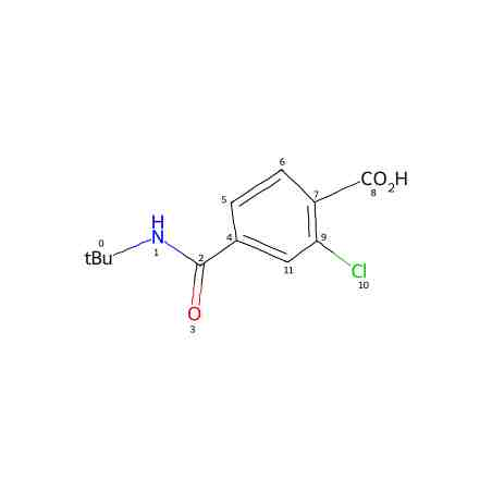 CC(C)(C)NC(=O)c1ccc(C(=O)O)c(Cl)c1